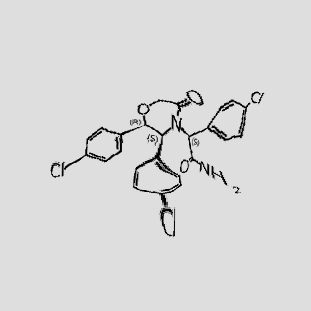 NC(=O)[C@H](c1ccc(Cl)cc1)N1C(=O)CO[C@H](c2ccc(Cl)cc2)[C@@H]1c1ccc(Cl)cc1